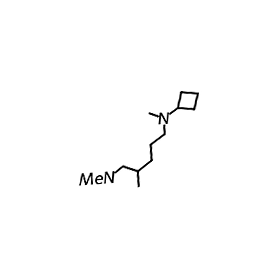 CNCC(C)CCCN(C)C1CCC1